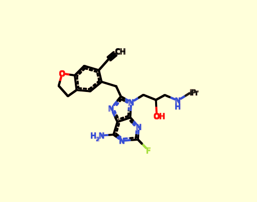 C#Cc1cc2c(cc1Cc1nc3c(N)nc(F)nc3n1CC(O)CNC(C)C)CCO2